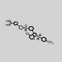 Cc1ccc(S(=O)(=O)n2cc(-c3cccc(S(=O)(=O)N4CCC(c5cc(B(O)O)cs5)C4)c3)c3c(Cl)ccnc32)cc1